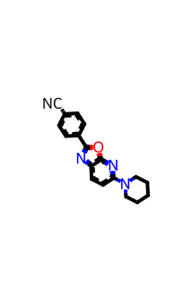 N#Cc1ccc(-c2nc3ccc(N4CCCCC4)nc3o2)cc1